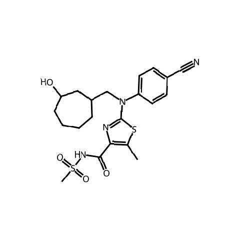 Cc1sc(N(CC2CCCCC(O)C2)c2ccc(C#N)cc2)nc1C(=O)NS(C)(=O)=O